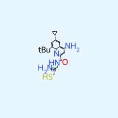 CC(C)(C)c1cc(C2CC2)cc2c(N)cc(C(=O)NC[C@@H](N)CS)nc12